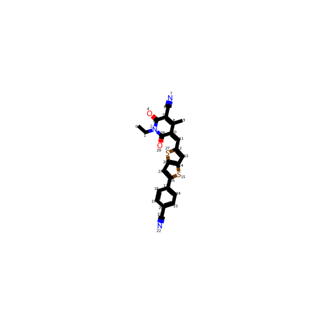 CCN1C(=O)C(C#N)=C(C)/C(=C/c2cc3sc(-c4ccc(C#N)cc4)cc3s2)C1=O